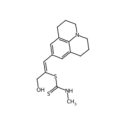 CNC(=S)S/C(=C\c1cc2c3c(c1)CCCN3CCC2)CO